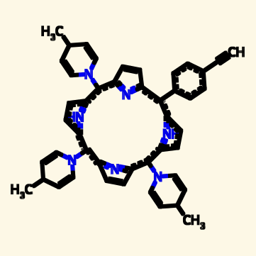 C#Cc1ccc(-c2c3nc(c(N4C=CC(C)C=C4)c4ccc([nH]4)c(N4C=CC(C)C=C4)c4nc(c(N5C=CC(C)C=C5)c5ccc2[nH]5)C=C4)C=C3)cc1